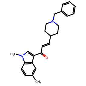 Cc1ccc2c(c1)c(C(=O)C=CC1CCN(Cc3ccccc3)CC1)cn2C